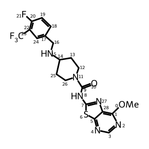 COc1ncnc2sc(NC(=O)N3CCC(NCc4ccc(F)c(C(F)(F)F)c4)CC3)nc12